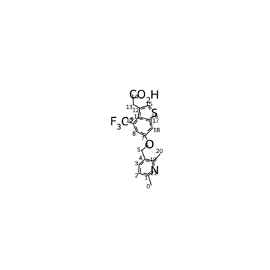 Cc1ccc(COc2cc(C(F)(F)F)c3c(CC(=O)O)csc3c2)c(C)n1